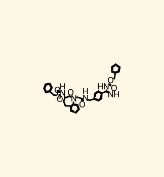 N=C(NC(=O)OCc1ccccc1)c1ccc(CNC(=O)CN2C(=O)C(NS(=O)(=O)Cc3ccccc3)CCc3ccccc32)cc1